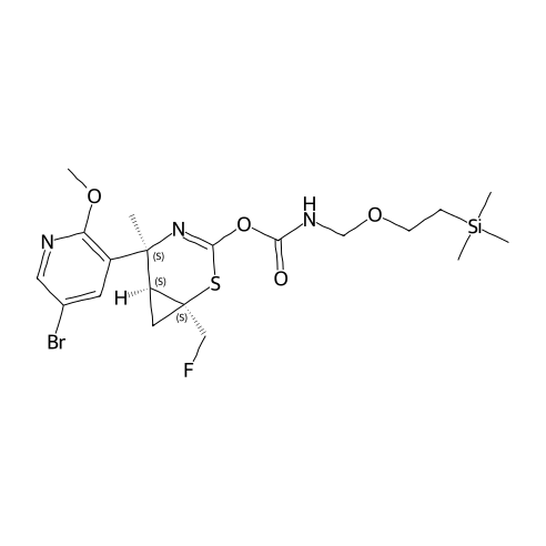 COc1ncc(Br)cc1[C@@]1(C)N=C(OC(=O)NCOCC[Si](C)(C)C)S[C@@]2(CF)C[C@H]21